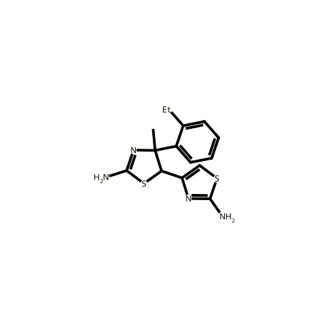 CCc1ccccc1C1(C)N=C(N)SC1c1csc(N)n1